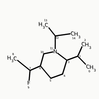 CC(C)C1CCC(C(C)F)CN1C(C)C